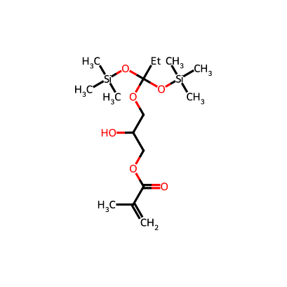 [CH2]CC(OCC(O)COC(=O)C(=C)C)(O[Si](C)(C)C)O[Si](C)(C)C